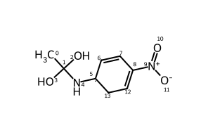 CC(O)(O)N[C]1C=CC([N+](=O)[O-])=CC1